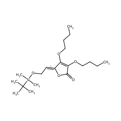 CCCCOC1=C(OCCCC)/C(=C/CO[Si](C)(C)C(C)(C)C)OC1=O